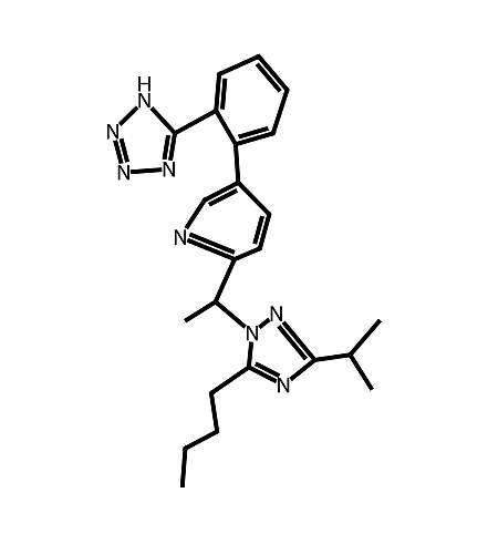 CCCCc1nc(C(C)C)nn1C(C)c1ccc(-c2ccccc2-c2nnn[nH]2)cn1